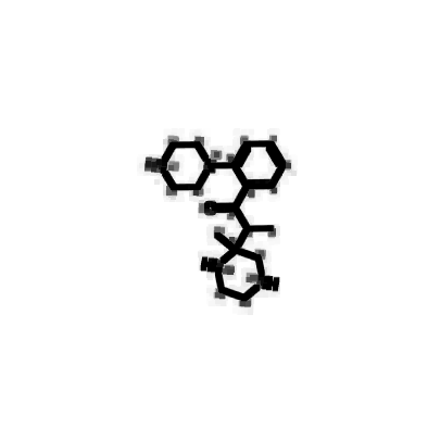 CC(C(=O)c1ccccc1N1CCNCC1)C1(C)CNCCN1